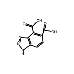 O=C(O)c1ccc2[nH]nnc2c1C(=O)O